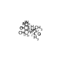 CC[C@@H](N[C@@H](C)CC=O)c1ccc(Cl)c(C(=O)c2ccncn2)c1F